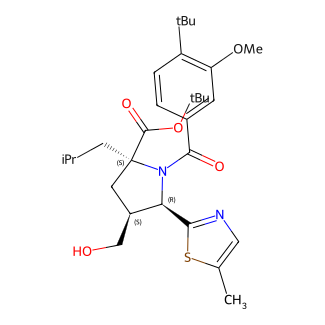 COc1cc(C(=O)N2[C@@H](c3ncc(C)s3)[C@@H](CO)C[C@@]2(CC(C)C)C(=O)OC(C)(C)C)ccc1C(C)(C)C